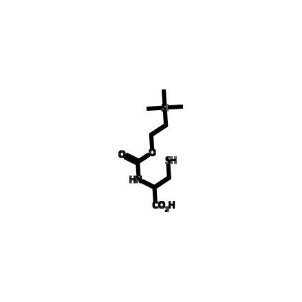 C[Si](C)(C)CCOC(=O)NC(CS)C(=O)O